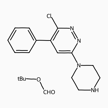 CC(C)(C)OC=O.Clc1nnc(N2CCNCC2)cc1-c1ccccc1